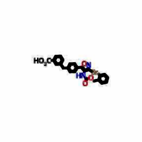 Cc1noc(-c2ccc(Cc3cccc(C(=O)O)c3)cc2)c1NC(=O)OCc1ccccc1Br